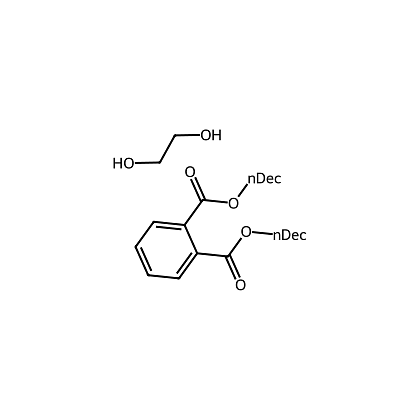 CCCCCCCCCCOC(=O)c1ccccc1C(=O)OCCCCCCCCCC.OCCO